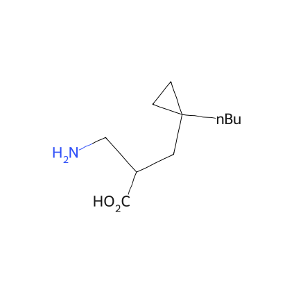 CCCCC1(CC(CN)C(=O)O)CC1